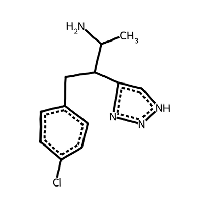 CC(N)C(Cc1ccc(Cl)cc1)c1c[nH]nn1